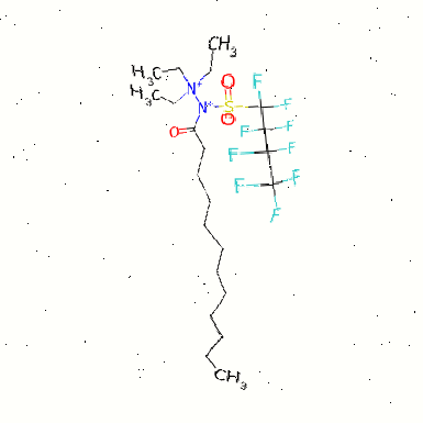 CCCCCCCCCCCC(=O)[N+]([N+](CC)(CC)CC)S(=O)(=O)C(F)(F)C(F)(F)C(F)(F)C(F)(F)F